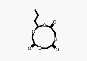 CCCC1OCC(=O)OCC(=O)OCC(=O)O1